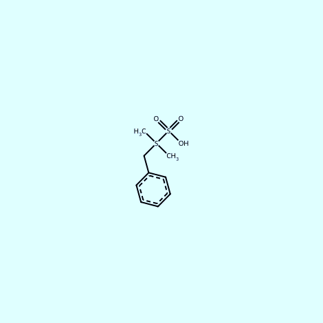 CS(C)(Cc1ccccc1)S(=O)(=O)O